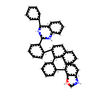 c1ccc(-c2nc(-c3ccccc3-c3ccc4ccccc4c3-c3ccccc3-c3cccc4ncoc34)nc3ccccc23)cc1